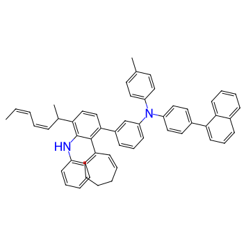 C/C=C\C=C/C(C)c1ccc(-c2cccc(N(c3ccc(C)cc3)c3ccc(-c4cccc5ccccc45)cc3)c2)c(C2=CCCCC=C2)c1Nc1ccccc1